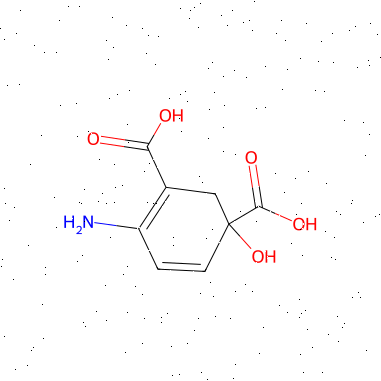 NC1=C(C(=O)O)CC(O)(C(=O)O)C=C1